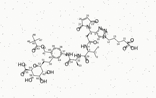 CC(C)[C@H](NC(=O)C[C@H](c1cn(CCCCS(=O)(=O)O)nn1)N1C(=O)C=CC1=O)C(=O)N[C@@H](C)C(=O)Nc1ccc(COC(=O)C(C)(C)C)c(CC[C@@H]2O[C@H](C(=O)O)[C@@H](O)[C@H](O)[C@H]2O)c1